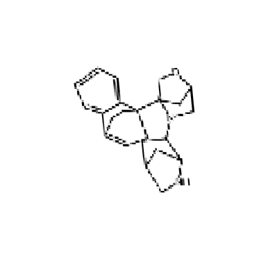 C1=C2CCC(C34COC(CN3C3CC5CNC3C5)C4)(C1)c1ccccc12